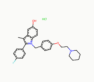 Cc1c(-c2ccc(F)cc2)n(Cc2ccc(OCCN3CCCCC3)cc2)c2ccc(O)cc12.Cl